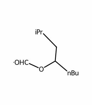 CCCCC(CC(C)C)O[C]=O